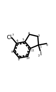 CC1(I)CCc2c(Cl)cccc21